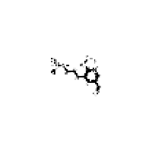 COc1ncc(C=O)cc1CCCN[SH](=O)=O